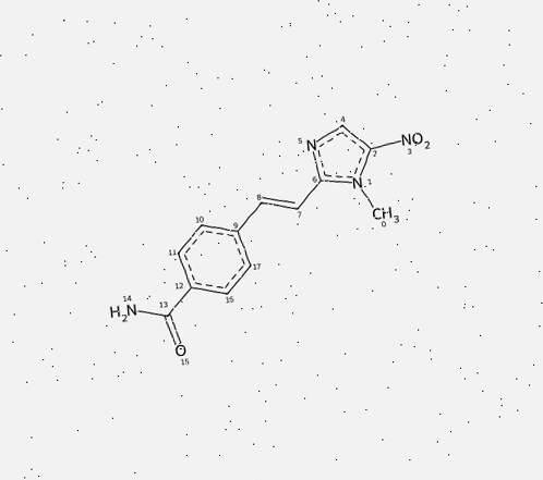 Cn1c([N+](=O)[O-])cnc1/C=C/c1ccc(C(N)=O)cc1